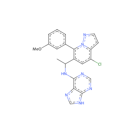 COc1cccc(-c2c(C(C)Nc3ncnc4[nH]cnc34)cc(Cl)c3ccnn23)c1